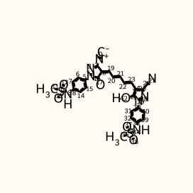 [C-]#[N+]C1=NN(c2ccc(NS(C)(=O)=O)cc2)C(=O)/C1=C\C=CC=Cc1c(C#N)nn(-c2ccc(NS(C)(=O)=O)cc2)c1O